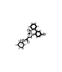 O=C(CCN1c2ccc(Br)cc2-c2ccccc2S1(=O)=O)NC1CCCCC1